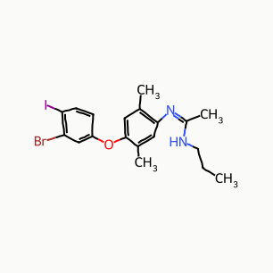 CCCNC(C)=Nc1cc(C)c(Oc2ccc(I)c(Br)c2)cc1C